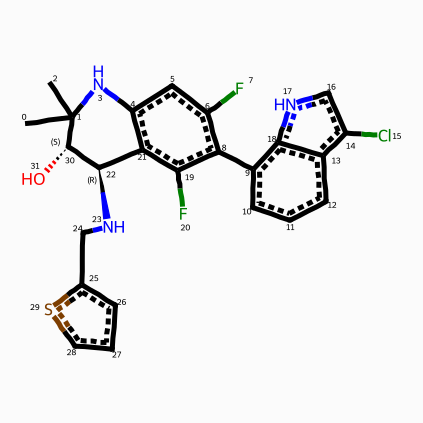 CC1(C)Nc2cc(F)c(-c3cccc4c(Cl)c[nH]c34)c(F)c2[C@@H](NCc2cccs2)[C@@H]1O